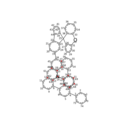 c1ccc(-c2ccc(-c3ccccc3N(c3ccc(-c4ccc5c(c4)C4(c6ccccc6Oc6ccccc64)c4ccccc4-5)cc3)c3ccccc3-c3ccccc3-c3ccccc3-c3ccccc3)cc2)cc1